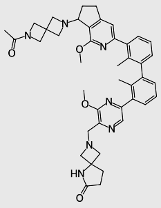 COc1nc(-c2cccc(-c3cccc(-c4cc5c(c(OC)n4)C(N4CC6(CN(C(C)=O)C6)C4)CC5)c3C)c2C)cnc1CN1CC2(CCC(=O)N2)C1